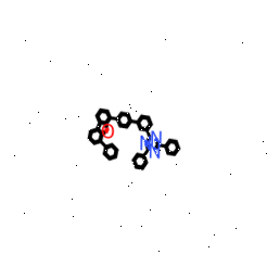 c1ccc(-c2nc(-c3ccccc3)nc(-c3cccc(-c4ccc(-c5cccc6c5oc5c(-c7ccccc7)cccc56)cc4)c3)n2)cc1